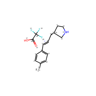 FC(F)(F)c1ccc(/C=C/C[C@H]2CCNC2)cc1.O=C(O)C(F)(F)F